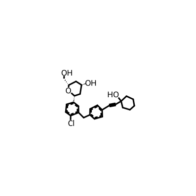 OC[C@@H]1C[C@H](O)C[C@H](c2ccc(Cl)c(Cc3ccc(C#CC4(O)CCCCC4)cc3)c2)O1